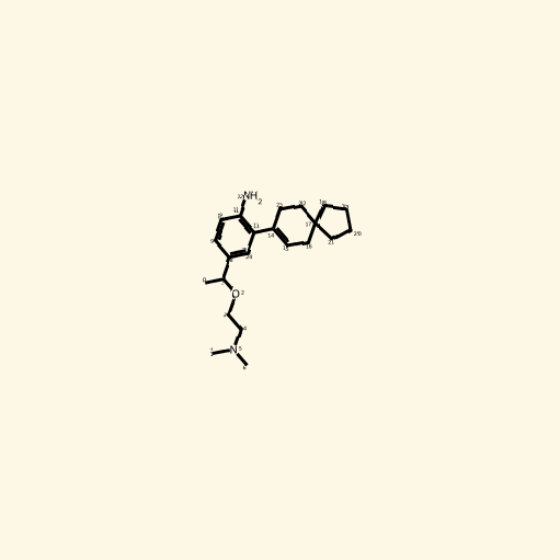 CC(OCCN(C)C)c1ccc(N)c(C2=CCC3(CCCC3)CC2)c1